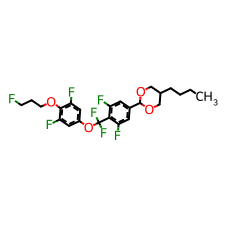 CCCCC1COC(c2cc(F)c(C(F)(F)Oc3cc(F)c(OCCCF)c(F)c3)c(F)c2)OC1